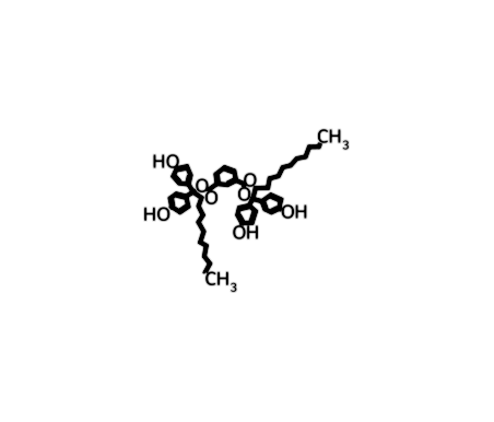 CCCCCCCCCCCC(OC(=O)c1cccc(C(=O)OC(CCCCCCCCCCC)(c2ccc(O)cc2)c2ccc(O)cc2)c1)(c1ccc(O)cc1)c1ccc(O)cc1